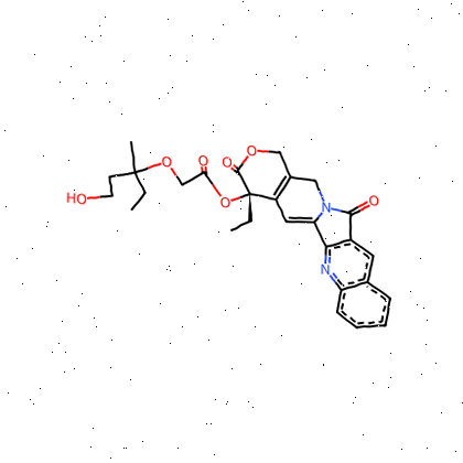 CCC(C)(CCO)OCC(=O)O[C@]1(CC)C(=O)OCC2=C1C=C1c3nc4ccccc4cc3C(=O)N1C2